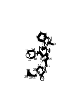 Cc1nc2ccccc2n1-c1nc(N2CCOCC2)c2sc(CN3CCN(CC4CC4)C(=O)C3)cc2n1